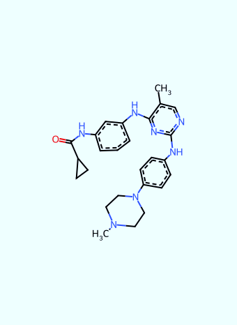 Cc1cnc(Nc2ccc(N3CCN(C)CC3)cc2)nc1Nc1cccc(NC(=O)C2CC2)c1